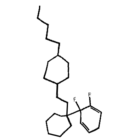 CCCCCC1CCC(CCC2(C3(F)C=CCC=C3F)CCCCC2)CC1